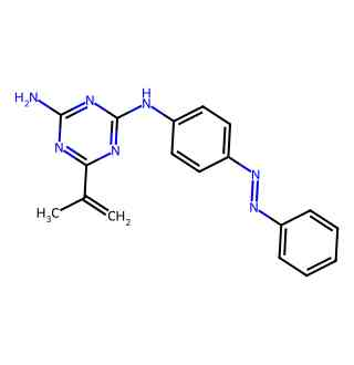 C=C(C)c1nc(N)nc(Nc2ccc(N=Nc3ccccc3)cc2)n1